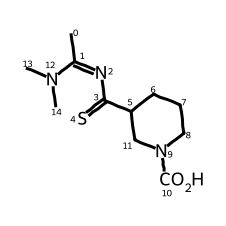 C/C(=N/C(=S)C1CCCN(C(=O)O)C1)N(C)C